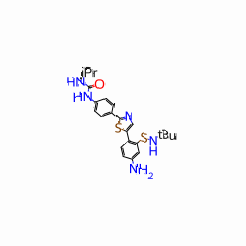 CC(C)NC(=O)Nc1ccc(-c2ncc(-c3ccc(N)cc3SNC(C)(C)C)s2)cc1